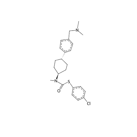 CN(C)Cc1ccc([C@H]2CC[C@H](N(C)C(=O)Sc3ccc(Cl)cc3)CC2)cc1